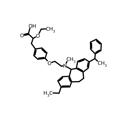 CCOC(Cc1ccc(OCCN(C)C2c3ccc(CC)cc3CCc3cc(C(C)c4ccccc4)ccc32)cc1)C(=O)O